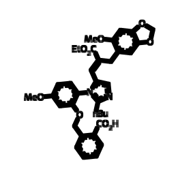 CCCCc1ncc(/C=C(\Cc2cc3c(cc2OC)OCO3)C(=O)OCC)n1-c1ccc(OC)cc1OCc1ccccc1C(=O)O